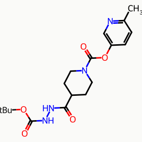 Cc1ccc(OC(=O)N2CCC(C(=O)NNC(=O)OC(C)(C)C)CC2)cn1